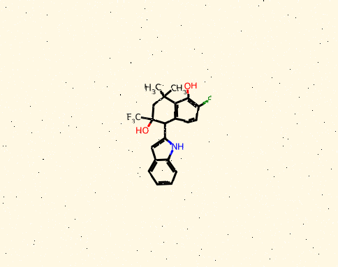 CC1(C)CC(O)(C(F)(F)F)C(c2cc3ccccc3[nH]2)c2ccc(F)c(O)c21